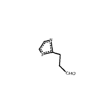 O=CCCc1nccs1